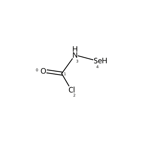 O=C(Cl)N[SeH]